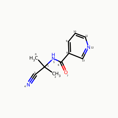 CC(C)(C#N)NC(=O)c1cc[c]nc1